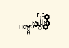 O=C(NC1CCCc2ccc(-c3cccc(C(F)(F)F)c3)nc21)c1ccnc(OCC(O)CO)c1